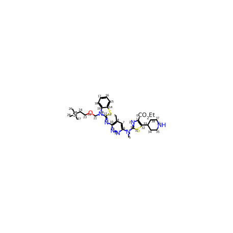 CCOC(=O)c1nc(N(C)c2cc(C)c(/N=c3\sc4ccccc4n3COCC[Si](C)(C)C)nn2)sc1C1CCNCC1